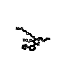 C=C/C=N\C=C/NC(=N/CCOCCNC)/C(C(=O)O)=C(\N=C)c1cccc(-n2cccn2)c1